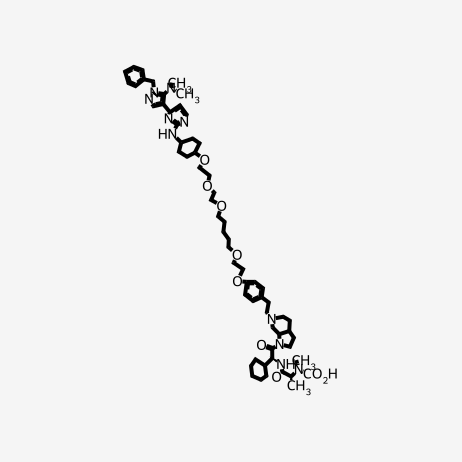 C[C@@H](C(=O)N[C@H](C(=O)N1CCC2CCN(CCc3ccc(OCCOCCCCCOCCOCCOC4CCC(Nc5nccc(-c6cnn(Cc7ccccc7)c6N(C)C)n5)CC4)cc3)CC21)C1CCCCC1)N(C)C(=O)O